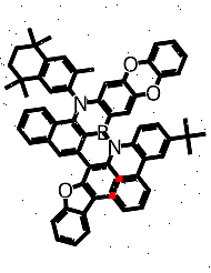 Cc1cc2c(cc1N1c3cc4c(cc3B3c5c(cc6ccccc6c51)-c1c(ccc5c1oc1ccccc15)N3c1ccc(C(C)(C)C)cc1-c1ccccc1)Oc1ccccc1O4)C(C)(C)CCC2(C)C